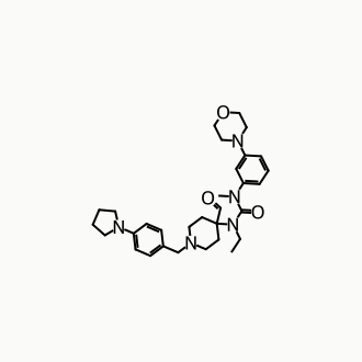 CCN(C(=O)N(C)c1cccc(N2CCOCC2)c1)C1(C=O)CCN(Cc2ccc(N3CCCC3)cc2)CC1